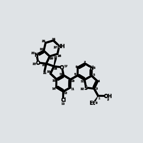 CC[C@@H](O)c1cc2nccc(-c3cc(Cl)cc4c3O[C@@](C)(C3(C)ON=C5CCNCC53)C4)c2s1